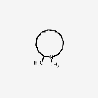 CC1CCCCCCCCCCN1C